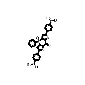 CCN(CC)c1ccc(-c2cc3c(s2)C(=O)c2sc(-c4ccc(N(CC)CC)cc4)cc2P3(=O)c2ccccc2)cc1